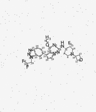 COc1nc(N[C@H]2CCN(C3COC3)C[C@H]2F)nn2ccc(-c3ccc4nnn(CC(F)F)c4c3)c12